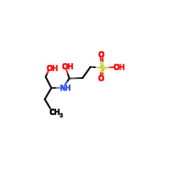 CCC(CO)NC(O)CCS(=O)(=O)O